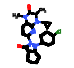 CC1C(=O)N(C)c2ccc(-n3c(=O)c4ccccc4n3-c3ccc(Cl)cc3)nc2N1C1CC1